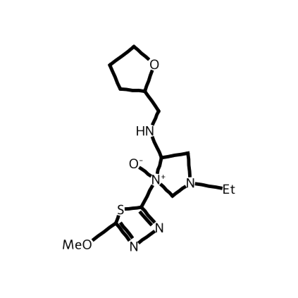 CCN1CC(NCC2CCCO2)[N+]([O-])(c2nnc(OC)s2)C1